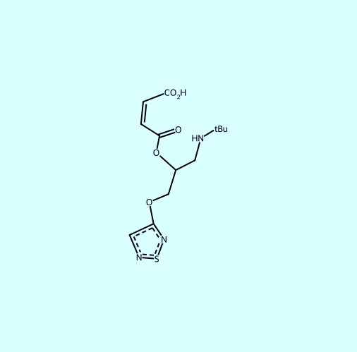 CC(C)(C)NCC(COc1cnsn1)OC(=O)/C=C\C(=O)O